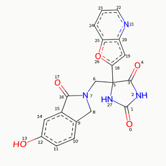 O=C1NC(=O)C(CN2Cc3ccc(O)cc3C2=O)(c2cc3ncccc3o2)N1